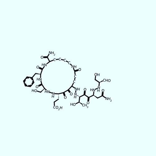 C[C@@H](O)[C@H](NNC1CCC(=O)NCCCCC(C(N)=O)NC(=O)[C@H](Cc2ccccc2)NC(=O)[C@H](CO)NN[C@@H](CCC(=O)O)C(=O)C1=O)C(=O)C(=O)[C@H](CC(N)=O)NN[C@H](C=O)CO